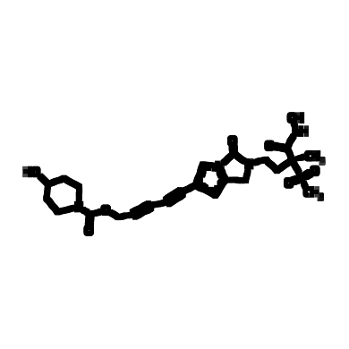 C[C@@](CCN1Cc2cc(C#CC#CCOC(=O)N3CCC(O)CC3)cn2C1=O)(C(=O)NO)S(C)(=O)=O